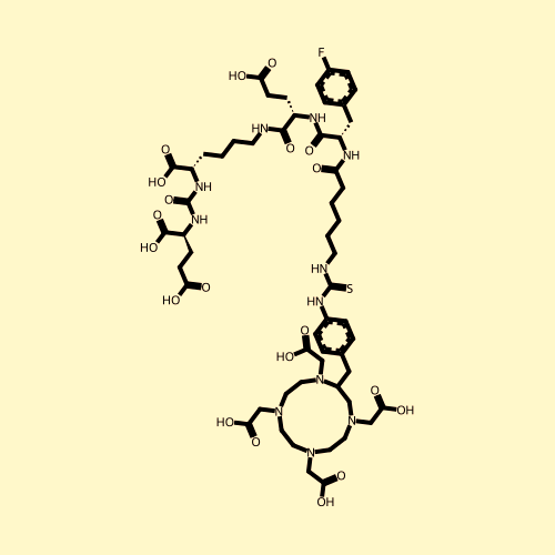 O=C(O)CC[C@H](NC(=O)N[C@@H](CCCCNC(=O)[C@H](CCC(=O)O)NC(=O)[C@H](Cc1ccc(F)cc1)NC(=O)CCCCCNC(=S)Nc1ccc(CC2CN(CC(=O)O)CCN(CC(=O)O)CCN(CC(=O)O)CCN2CC(=O)O)cc1)C(=O)O)C(=O)O